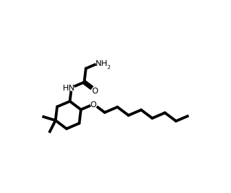 CCCCCCCCOC1CCC(C)(C)CC1NC(=O)CN